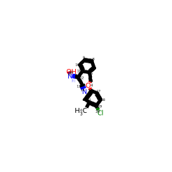 Cc1cc(OCc2ccccc2/C(C#N)=N\O)ccc1Cl